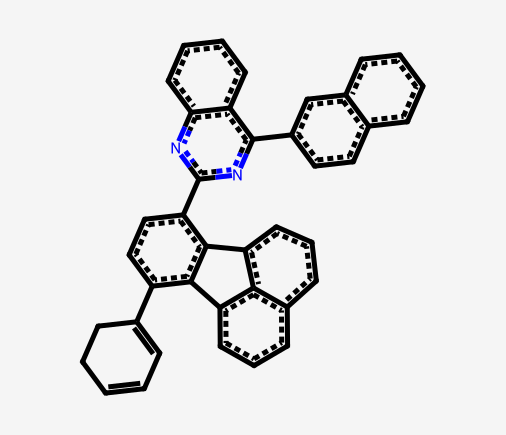 C1=CCCC(c2ccc(-c3nc(-c4ccc5ccccc5c4)c4ccccc4n3)c3c2-c2cccc4cccc-3c24)=C1